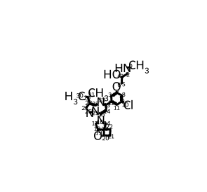 CNCC(O)COc1cc(Cl)cc(-c2cc(N3CC4OC5CCC54C3)n3ncc(C(C)C)c3n2)c1